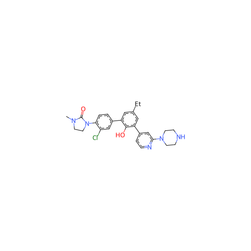 CCc1cc(-c2ccnc(N3CCNCC3)c2)c(O)c(-c2ccc(N3CCN(C)C3=O)c(Cl)c2)c1